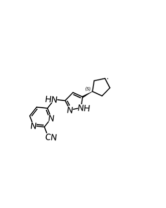 N#Cc1nccc(Nc2cc([C@H]3C[CH]CC3)[nH]n2)n1